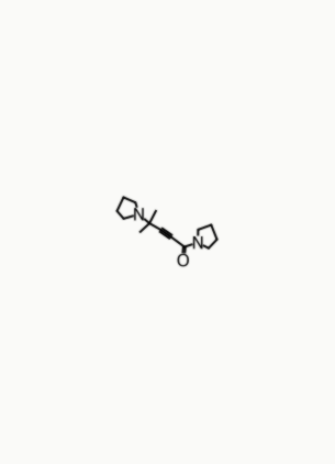 CC(C)(C#CC(=O)N1CCCC1)N1CCCC1